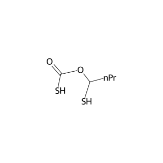 CCCC(S)OC(=O)S